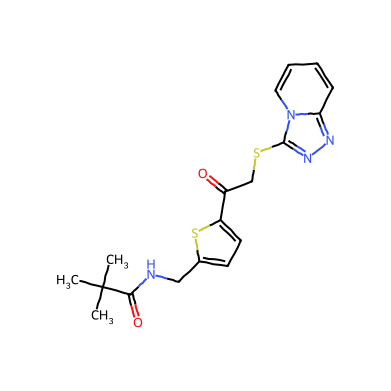 CC(C)(C)C(=O)NCc1ccc(C(=O)CSc2nnc3ccccn23)s1